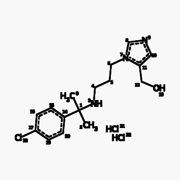 CC(C)(NCCCn1cncc1CO)c1ccc(Cl)cc1.Cl.Cl